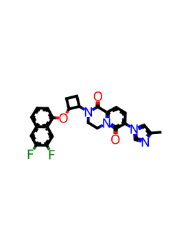 Cc1cn(-c2ccc3n(c2=O)CCN(C2CCC2Oc2cccc4cc(F)c(F)cc24)C3=O)cn1